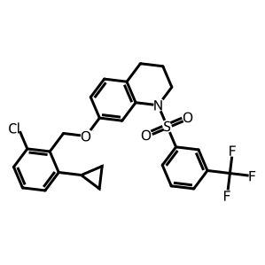 O=S(=O)(c1cccc(C(F)(F)F)c1)N1CCCc2ccc(OCc3c(Cl)cccc3C3CC3)cc21